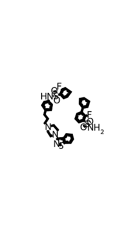 NS(=O)(=O)c1cccc(-c2ccccc2)c1F.O=S(=O)(Nc1ccc(CCCN2CCN(c3nsc4ccccc34)CC2)cc1)c1ccccc1F